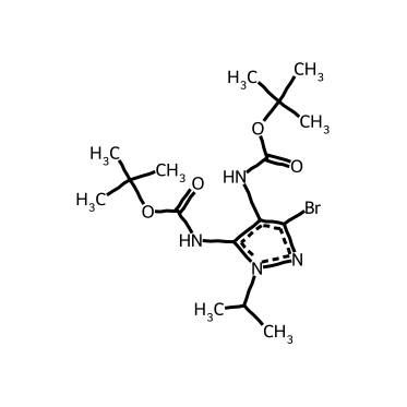 CC(C)n1nc(Br)c(NC(=O)OC(C)(C)C)c1NC(=O)OC(C)(C)C